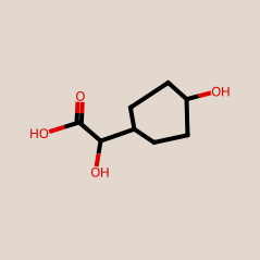 O=C(O)C(O)C1CCC(O)CC1